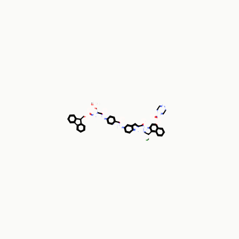 CN1CCN(C(=O)Oc2cc3c(c4ccccc24)[C@H](CCl)CN3C(=O)c2cc3cc(NC(=O)c4ccc(NC(=O)[C@H](COC(C)(C)C)NC(=O)OCC5c6ccccc6-c6ccccc65)cc4)ccc3[nH]2)CC1